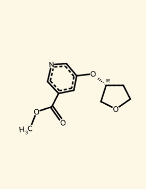 COC(=O)c1cncc(O[C@@H]2CCOC2)c1